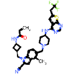 C=CC(=O)N[C@H]1C[C@@H](Cn2c(C#N)cc3c(C)c(CN4CCC(Nc5ncnc6sc(CC(F)(F)F)cc56)CC4)ccc32)C1